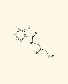 O=C(O)CC(O)CNC(=O)c1ncccc1O